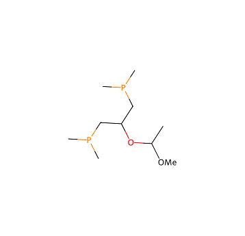 COC(C)OC(CP(C)C)CP(C)C